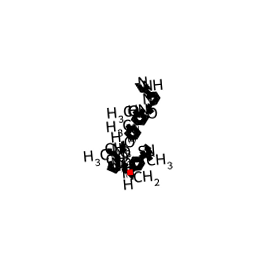 C=C[C@H](NC(=O)[C@@H]1CCCN1C(=O)[C@@H](NC(=O)CO[C@H]1CC[C@@H](c2ccc(NC(=O)c3cccc(-c4ccn[nH]4)n3)c(OC)c2)N(C)C1)C(C)(C)C)c1ccc(-c2scnc2C)cc1